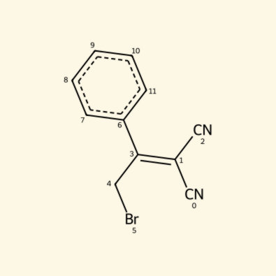 N#CC(C#N)=C(CBr)c1ccccc1